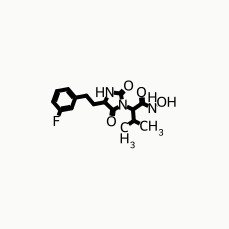 CC(C)C(C(=O)NO)N1C(=O)NC(CCc2cccc(F)c2)C1=O